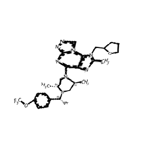 Cc1nc2c(N3C[C@@H](C)N([C@@H](c4ccc(OC(F)(F)F)cc4)C(C)C)C[C@@H]3C)nc3nncn3c2n1CC1CCCO1